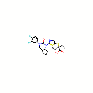 CC(C)(Sc1cnc(NC(=O)N(CC2CCCC2)c2ccc(F)c(F)c2)s1)C(=O)O